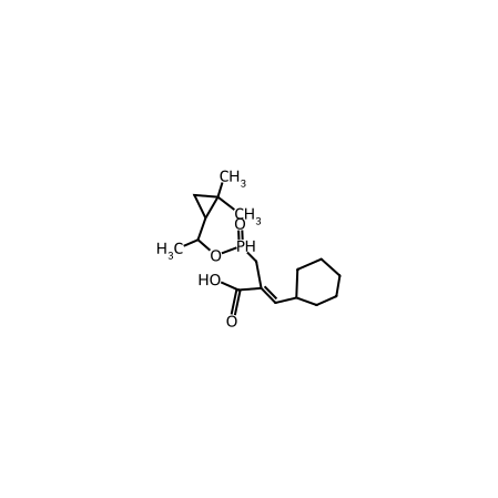 CC(O[PH](=O)CC(=CC1CCCCC1)C(=O)O)C1CC1(C)C